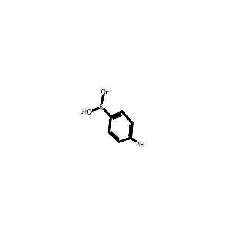 [2H]c1ccc(B(O)O)cc1